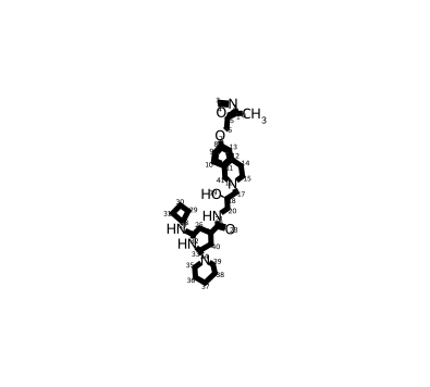 Cc1ncoc1COc1ccc2c(c1)CCN(C[C@@H](O)CNC(=O)C1CC(NC3CCC3)NC(N3CCCCC3)C1)C2